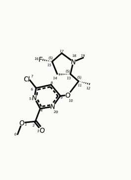 COC(=O)c1nc(Cl)cc(O[C@@H](C)[C@@H]2C[C@H](F)CN2C)n1